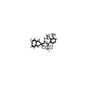 CCOC(=O)C1(NC(=O)c2cccc(C(C)C)c2OCC)Cc2ccccc2C1